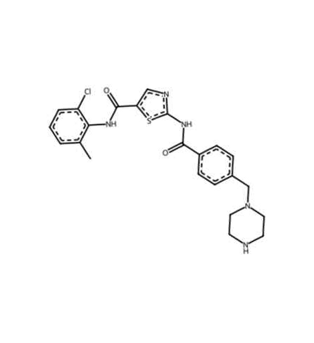 Cc1cccc(Cl)c1NC(=O)c1cnc(NC(=O)c2ccc(CN3CCNCC3)cc2)s1